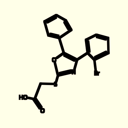 O=C(O)CSc1nc(-c2ccccc2Br)c(-c2ccccc2)o1